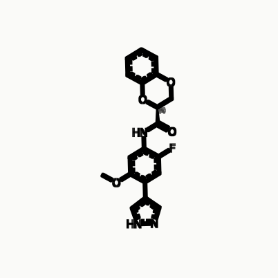 COc1cc(NC(=O)[C@@H]2COc3ccccc3O2)c(F)cc1-c1cn[nH]c1